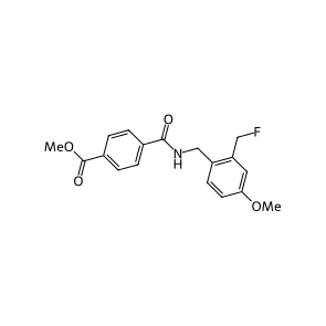 COC(=O)c1ccc(C(=O)NCc2ccc(OC)cc2CF)cc1